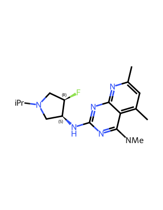 CNc1nc(N[C@H]2CN(C(C)C)C[C@H]2F)nc2nc(C)cc(C)c12